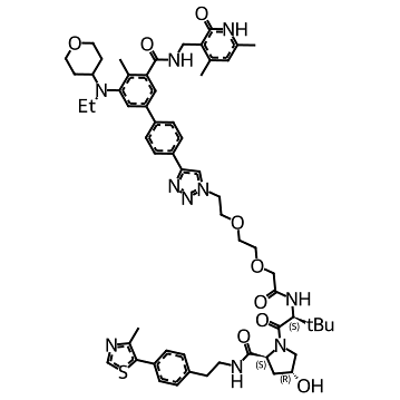 CCN(c1cc(-c2ccc(-c3cn(CCOCCOCC(=O)N[C@H](C(=O)N4C[C@H](O)C[C@H]4C(=O)NCCc4ccc(-c5scnc5C)cc4)C(C)(C)C)nn3)cc2)cc(C(=O)NCc2c(C)cc(C)[nH]c2=O)c1C)C1CCOCC1